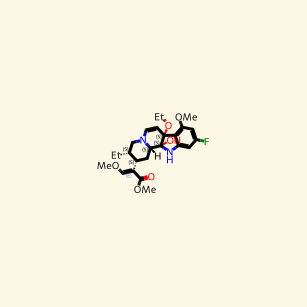 CCO[C@]12C=CN3C[C@@H](CC)[C@@H](/C(=C\OC)C(=O)OC)C[C@H]3[C@@]1(O)Nc1cc(F)cc(OC)c12